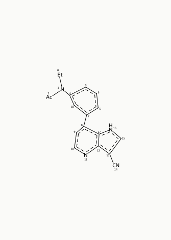 CCN(C(C)=O)c1cccc(-c2ccnc3c(C#N)c[nH]c23)c1